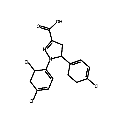 O=C(O)C1=NN(C2=CC=C(Cl)CC2Cl)C(C2=CC=C(Cl)CC2)C1